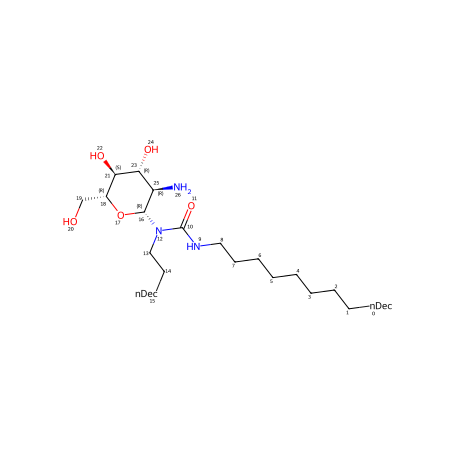 CCCCCCCCCCCCCCCCCCNC(=O)N(CCCCCCCCCCCC)[C@@H]1O[C@H](CO)[C@@H](O)[C@H](O)[C@H]1N